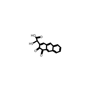 O=C1C(=O)c2cc3ccccc3cc2C=C1C(S)C(=O)O